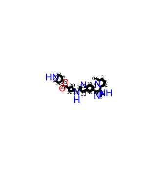 Cc1cccc(-c2[nH]cnc2-c2ccc3ncc(NC4CC(C(=O)OC5CCNCC5)C4)cc3c2)n1